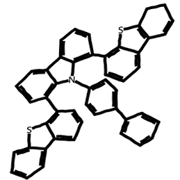 C1=Cc2c(sc3c(-c4cccc5c6cccc(-c7cccc8c7sc7ccccc78)c6n(-c6ccc(-c7ccccc7)cc6)c45)cccc23)CC1